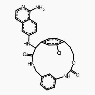 Nc1nccc2cc(NC3C(=O)NCc4cccc(c4)NC(=O)OCCc4ccc3cc4Cl)ccc12